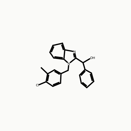 Cc1cc(Cn2c(C(O)c3ccccc3)nc3ccccc32)ccc1Cl